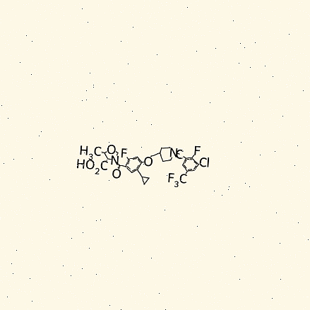 C[C@H]1OCN(C(=O)c2cc(C3CC3)c(OCC3CCN(Cc4cc(C(F)(F)F)cc(Cl)c4F)CC3)cc2F)[C@@H]1C(=O)O